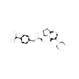 CC(C)CN(CC(C)C)c1cnc2n(c1=O)[C@H](C(=O)NCc1ccc(C(=N)N)cc1)CC2